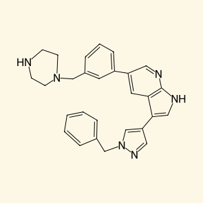 c1ccc(Cn2cc(-c3c[nH]c4ncc(-c5cccc(CN6CCNCC6)c5)cc34)cn2)cc1